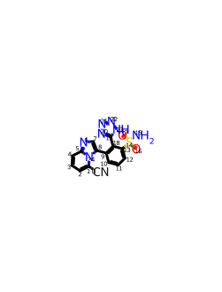 N#Cc1cccc2ncc(-c3cccc(S(N)(=O)=O)c3-c3nnn[nH]3)n12